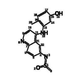 C=S(=O)=Nc1ccc2nccc(Nc3cc(O)ccc3C)c2c1